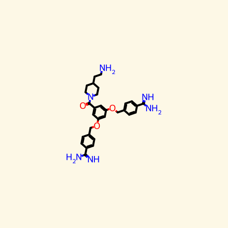 N=C(N)c1ccc(COc2cc(OCc3ccc(C(=N)N)cc3)cc(C(=O)N3CCC(CCN)CC3)c2)cc1